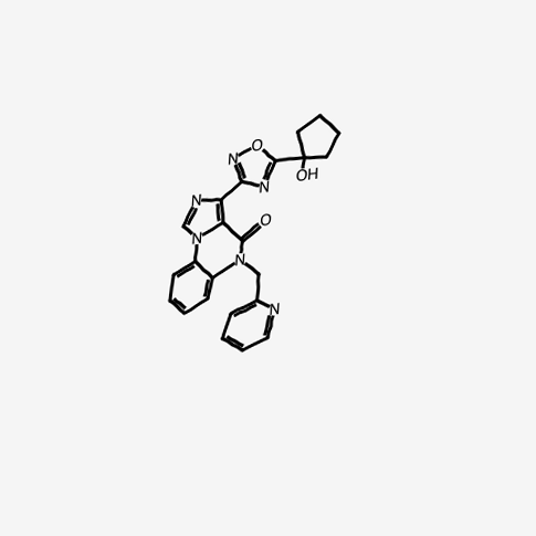 O=c1c2c(-c3noc(C4(O)CCCC4)n3)ncn2c2ccccc2n1Cc1ccccn1